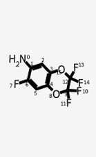 Nc1cc2c(cc1F)OC(F)(F)C(F)(F)O2